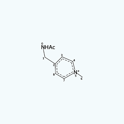 CC(=O)NCc1cc[n+](C)cc1